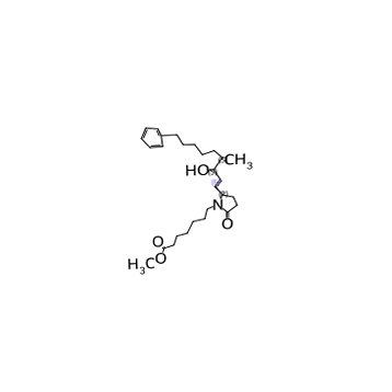 COC(=O)CCCCCCN1C(=O)CC[C@@H]1/C=C/[C@@H](O)[C@@H](C)CCCCCc1ccccc1